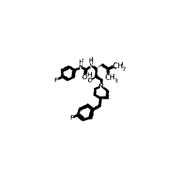 CC(C)C[C@@H](NC(=O)Nc1ccc(F)cc1)[C@H](O)CN1CCC(Cc2ccc(F)cc2)CC1